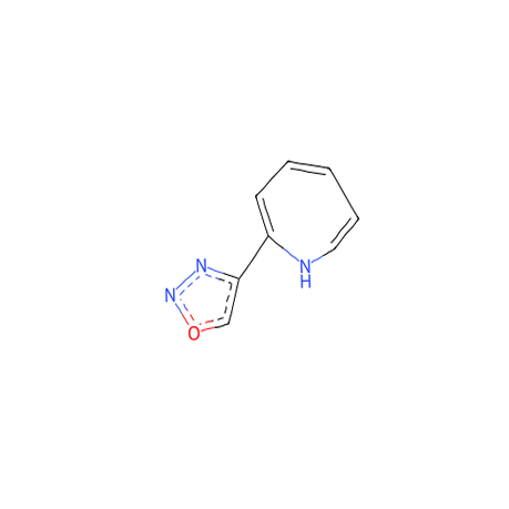 C1=CC=C(c2conn2)NC=C1